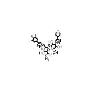 C[C@@H](O)C(CO)OC(S[C@@H]1O[C@H](CO)C(O)C(n2cc(C3CCOCC3)nn2)C1O)[C@@H](O)Cn1cc(-c2cc(F)c(F)c(F)c2)nn1